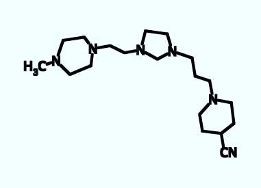 CN1CCN(CCN2CCN(CCCN3CCC(C#N)CC3)C2)CC1